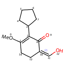 COC1=C(C2CCCC2)C(=O)/C(=C\O)CC1